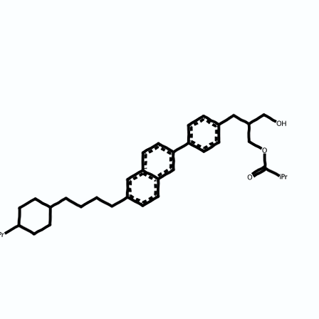 CCCC1CCC(CCCCc2ccc3cc(-c4ccc(CC(CO)COC(=O)C(C)C)cc4)ccc3c2)CC1